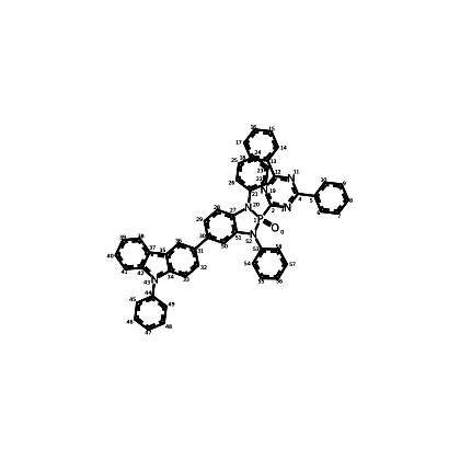 O=P1(c2nc(-c3ccccc3)nc(-c3ccccc3)n2)N(c2ccccc2)c2ccc(-c3ccc4c(c3)c3ccccc3n4-c3ccccc3)cc2N1c1ccccc1